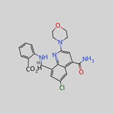 C[C@H](Nc1ccccc1C(=O)O)c1cc(Cl)cc2c(C(N)=O)cc(N3CCOCC3)nc12